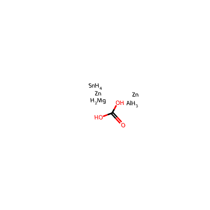 O=C(O)O.[AlH3].[MgH2].[SnH4].[Zn].[Zn]